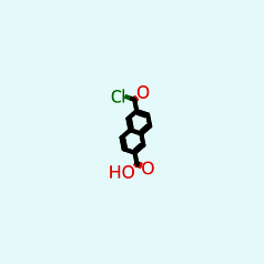 O=C(O)c1ccc2cc(C(=O)Cl)ccc2c1